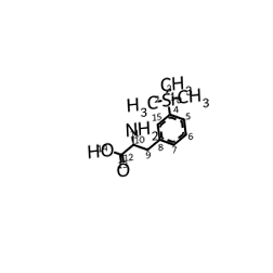 C[Si](C)(C)c1cccc(C[C@H](N)C(=O)O)c1